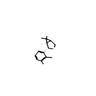 Fc1cccc([C@@H]2NC[C@H]3[C@@H]2C3(F)F)c1Cl